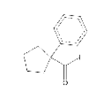 O=C(I)C1(c2ccccc2)CCCC1